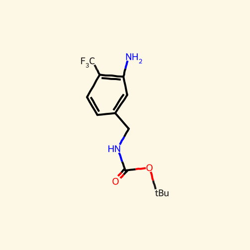 CC(C)(C)OC(=O)NCc1ccc(C(F)(F)F)c(N)c1